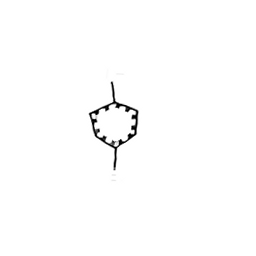 CCc1ccc([PH])cc1